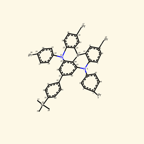 CC(C)c1ccc(N2c3ccc(C(C)C)cc3B3c4cc(C(C)C)ccc4N(c4ccc(C(C)C)cc4)c4cc(-c5ccc([Si](C)(C)C)cc5)cc2c43)cc1